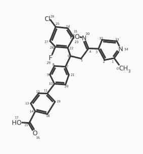 Cc1cc(/C(CC(c2ccc(-c3ccc(C(=O)O)cc3)cc2)c2ccc(Cl)cc2F)=N/O)ccn1